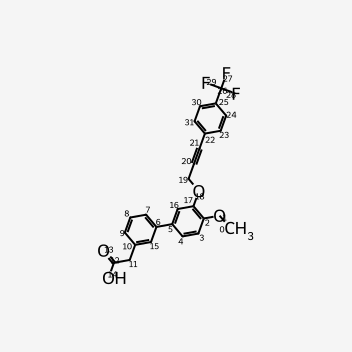 COc1ccc(-c2cccc(CC(=O)O)c2)cc1OCC#Cc1ccc(C(F)(F)F)cc1